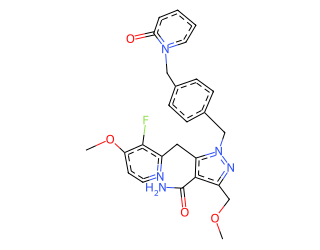 COCc1nn(Cc2ccc(Cn3ccccc3=O)cc2)c(Cc2nccc(OC)c2F)c1C(N)=O